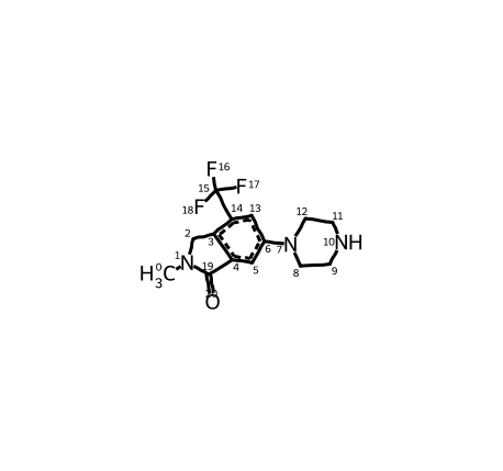 CN1Cc2c(cc(N3CCNCC3)cc2C(F)(F)F)C1=O